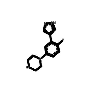 Fc1ccc(N2CCNCC2)cc1-c1cn[nH]c1